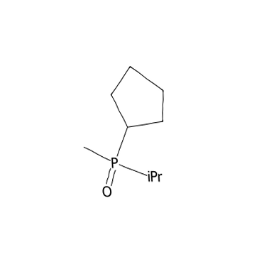 CC(C)P(C)(=O)C1CCCC1